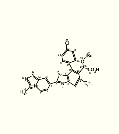 Cc1cc2nc(-c3ccn4c(C)nnc4c3)sc2c(-c2ccc(Cl)cc2)c1[C@H](OC(C)(C)C)C(=O)O